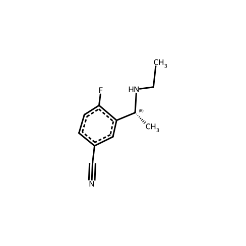 CCN[C@H](C)c1cc(C#N)ccc1F